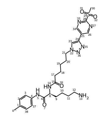 [CH2]c1ccc(NC(=O)[C@H](CCCCN)NC(=O)CCCCCn2cc(-c3cnc(S(C)(=O)=O)nc3)nn2)cc1